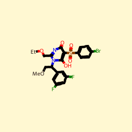 CCOCc1nc(=O)c(S(=O)(=O)c2ccc(Br)cc2)c(O)n1C(COC)c1cc(F)cc(F)c1